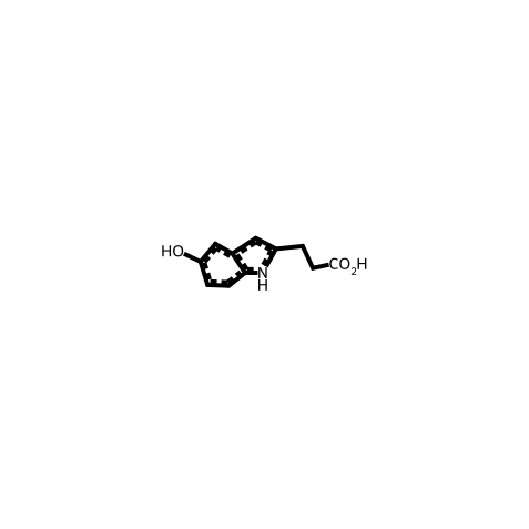 O=C(O)CCc1cc2cc(O)ccc2[nH]1